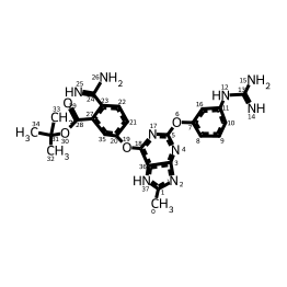 Cc1nc2nc(Oc3cccc(NC(=N)N)c3)nc(Oc3ccc(C(=N)N)c(C(=O)OC(C)(C)C)c3)c2[nH]1